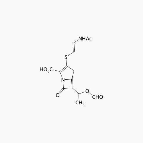 CC(=O)NC=CSC1=C(C(=O)O)N2C(=O)[C@H]([C@@H](C)OC=O)C2C1